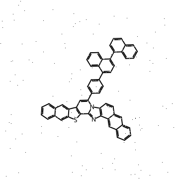 c1ccc2cc3c(ccc4c3nc3c5sc6cc7ccccc7cc6c5cc(-c5ccc(-c6ccc(-c7cccc8ccccc78)c7ccccc67)cc5)n43)cc2c1